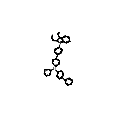 C=Cc1c(/C=C\C)n(-c2ccc(-c3ccc(N(c4ccccc4)c4ccc(-c5ccccc5)cc4)cc3)cc2)c2ccccc12